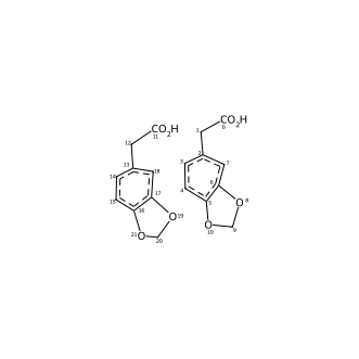 O=C(O)Cc1ccc2c(c1)OCO2.O=C(O)Cc1ccc2c(c1)OCO2